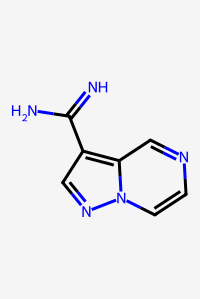 N=C(N)c1cnn2ccncc12